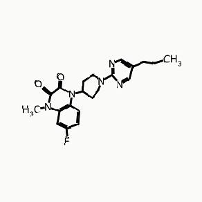 CCCc1cnc(N2CCC(n3c(=O)c(=O)n(C)c4cc(F)ccc43)CC2)nc1